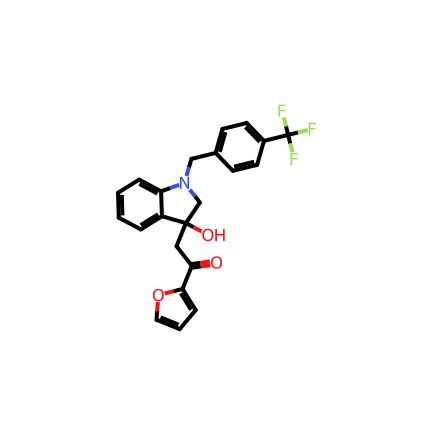 O=C(CC1(O)CN(Cc2ccc(C(F)(F)F)cc2)c2ccccc21)c1ccco1